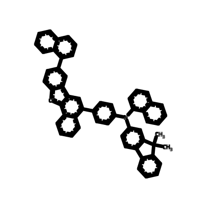 CC1(C)c2ccccc2-c2ccc(N(c3ccc(-c4cc5c6cc(-c7cccc8ccccc78)ccc6oc5c5ccccc45)cc3)c3cccc4ccccc34)cc21